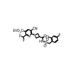 CCOC(=O)c1cc(C#N)c(N2CC(C(=O)NS(=O)(=O)Cc3ccc(F)cc3Cl)C2)nc1C(F)F